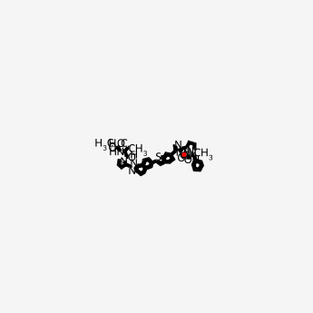 COC(=O)NC(C(=O)N1CCCC1c1nc2ccc3cc(-c4cc5ccc(-c6cnc(C7CCCN7[N+](O)(C(=O)[O-])C(C)c7ccccc7)[nH]6)cc5s4)ccc3c2[nH]1)C(C)C